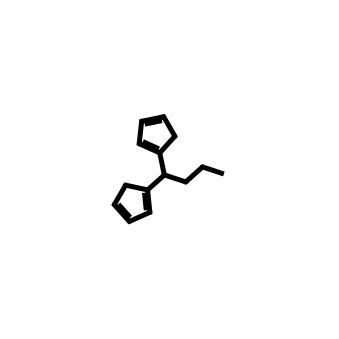 CCCC(C1=CC=CC1)C1=CC=CC1